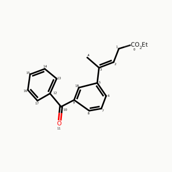 CCOC(=O)C/C=C(\C)c1cccc(C(=O)c2ccccc2)c1